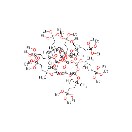 CCO[Si](CC[Si](C)(C)O[SiH]1O[Si]2(OC)O[Si]3(O[Si](C)(C)CC[Si](OCC)(OCC)OCC)O[Si](O[SiH3])(O[Si](C)(C)CC[Si](OCC)(OCC)OCC)O[Si]4(O[Si](C)(C)CC[Si](OCC)(OCC)OCC)O[Si](O[Si](C)(C)CC[Si](OCC)(OCC)OCC)(O1)O[Si](O[Si](C)(C)CC[Si](OCC)(OCC)OCC)(O2)O[Si](O[Si](C)(C)CC[Si](OCC)(OCC)OCC)(O3)O4)(OCC)OCC